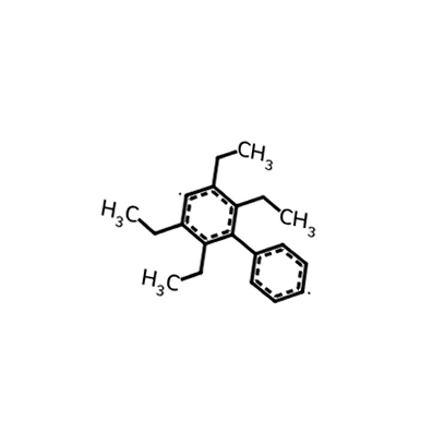 CCc1[c]c(CC)c(CC)c(-c2cc[c]cc2)c1CC